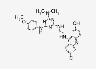 COc1ccc(Nc2nc(NCCNc3c4ccc(Cl)cc4nc4ccc(O)cc34)nc(N(C)C)n2)cc1